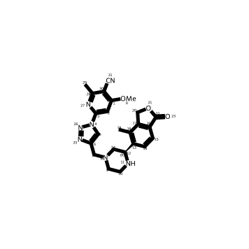 COc1cc(-n2cc(CN3CCN[C@H](c4ccc5c(c4C)COC5=O)C3)nn2)nc(C)c1C#N